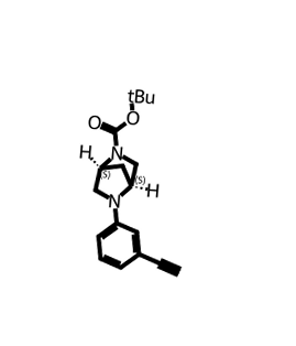 C#Cc1cccc(N2C[C@@H]3C[C@H]2CN3C(=O)OC(C)(C)C)c1